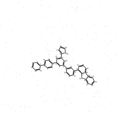 c1ccc(-c2ccc(-c3cc(-c4cccc(-c5cccc6c5sc5ccccc56)c4)nc(-c4cccs4)n3)cc2)cc1